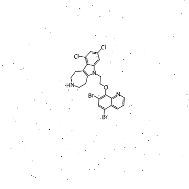 Clc1cc(Cl)c2c3c(n(CCOc4c(Br)cc(Br)c5cccnc45)c2c1)CCNCC3